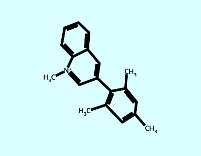 Cc1cc(C)c(-c2cc3ccccc3[n+](C)c2)c(C)c1